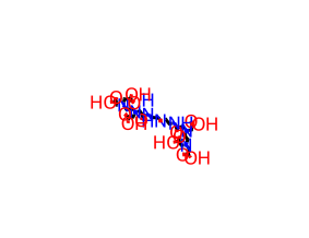 O=C(O)CN(CCN(CC(=O)O)CC(=O)NCCNCCNC(=O)CN(CCN(CC(=O)O)CC(=O)O)CC(=O)O)CC(=O)O